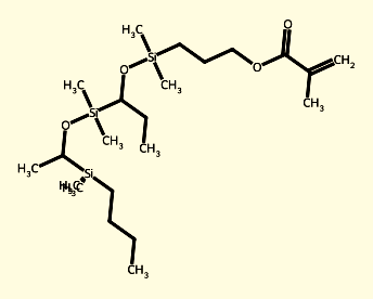 C=C(C)C(=O)OCCC[Si](C)(C)OC(CC)[Si](C)(C)OC(C)[Si](C)(C)CCCC